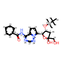 C[C@H]1[C@@H](O[Si](C)(C)C(C)(C)C)[C@H](c2ccc3c(NC(=O)c4ccccc4)ncnn23)OC1(O)CO